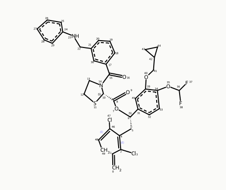 C=C/C(Cl)=C(C[C@H](OC(=O)[C@@H]1SCCN1C(=O)c1cccc(CNc2ccccc2)c1)c1ccc(OC(F)F)c(OCC2CC2)c1)\C(Cl)=C/C